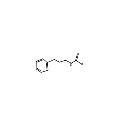 [O]C(=O)NCCCc1ccccc1